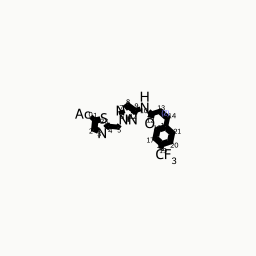 CC(=O)c1cnc(Cn2ncc(NC(=O)/C=C\c3ccc(C(F)(F)F)cc3)n2)s1